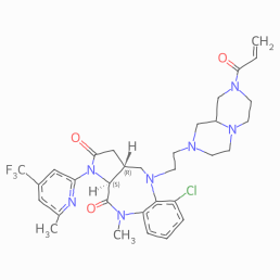 C=CC(=O)N1CCN2CCN(CCN3C[C@H]4CC(=O)N(c5cc(C(F)(F)F)cc(C)n5)[C@@H]4C(=O)N(C)c4cccc(Cl)c43)CC2C1